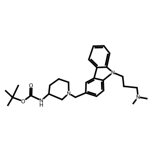 CN(C)CCCn1c2ccccc2c2cc(CN3CCCC(NC(=O)OC(C)(C)C)C3)ccc21